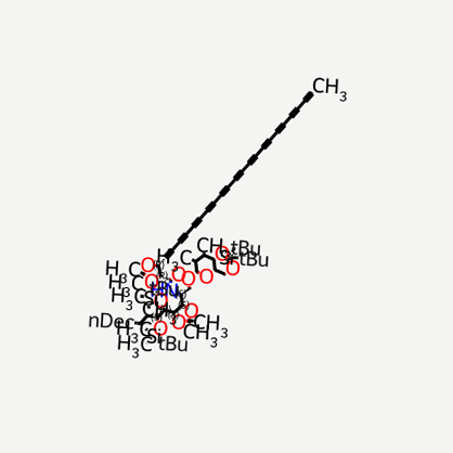 CC#CC#CC#CC#CC#CC#CC#CC#CC#CC#CC#C[C@H]1OC(C)(C)O[C@H]1C(=O)N[C@@H](COC1OC2CO[Si](C(C)(C)C)(C(C)(C)C)OC2C(C)C1C)[C@@H]1OC(C)(C)O[C@@H]1[C@@H](O[Si](C)(C)C(C)(C)C)[C@H](CCCCCCCCCCCC)O[Si](C)(C)C(C)(C)C